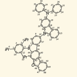 CC(C)c1cc(C(C)C)c(B2c3ccc(-n4c5ccccc5c5cc(N(c6ccccc6)c6ccccc6)ccc54)cc3-c3cc4c(cc32)oc2ccccc24)c(C(C)C)c1